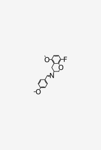 COc1ccc(C=NC2COc3c(F)ccc(OC)c3C2)cc1